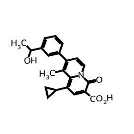 Cc1c(-c2cccc(C(C)O)c2)ccn2c(=O)c(C(=O)O)cc(C3CC3)c12